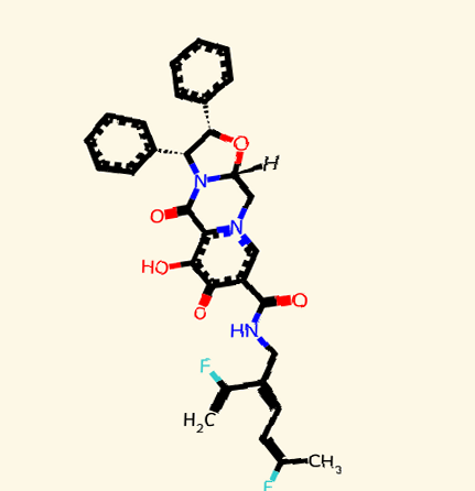 C=C(F)/C(=C\C=C(/C)F)CNC(=O)c1cn2c(c(O)c1=O)C(=O)N1[C@H](c3ccccc3)[C@H](c3ccccc3)O[C@@H]1C2